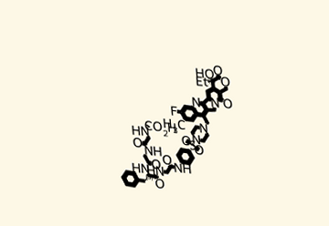 CC[C@@]1(O)C(=O)OCc2c1cc1n(c2=O)Cc2c-1nc1cc(F)c(C)cc1c2CN1CCN(S(=O)(=O)c2ccc(NC(=O)CNC(=O)[C@H](Cc3ccccc3)NC(=O)CNC(=O)CNC(=O)O)cc2)CC1